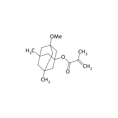 C=C(C)C(=O)OC12CC3(C)CC(C)(CC(OC)(C3)C1)C2